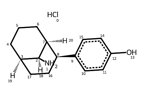 Cl.N[C@H]1[C@@H]2CCC[C@H]1[C@@H](c1ccc(O)cc1)CC2